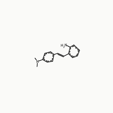 CN(C)c1ccc(C=Cc2ccccc2N)cc1